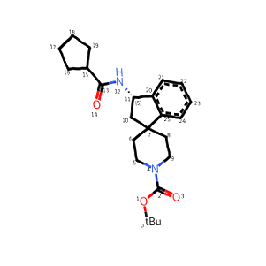 CC(C)(C)OC(=O)N1CCC2(CC1)C[C@H](NC(=O)C1CCCC1)c1ccccc12